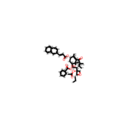 CCC[C@H]1OC[C@@]1(OC(C)=O)[C@@H]1/C(C)=C(/C)C(=O)C2=C(C)[C@@H](OC(=O)/C=C/c3ccc4ccccc4c3)C[C@@](O)([C@H]1OC(=O)c1ccccc1)C2(C)C